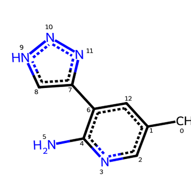 Cc1cnc(N)c(-c2c[nH]nn2)c1